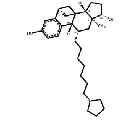 C=CC12CCc3cc(O)ccc3[C@H]1[C@@H](CCCCCCCN1CCCC1)C[C@]1(C)[C@@H](O)CC[C@@H]21